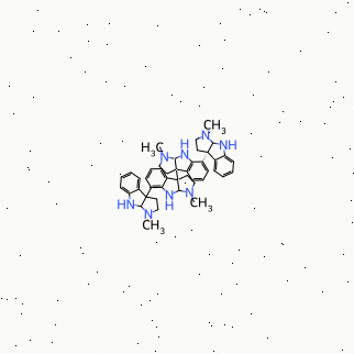 CN1CCC2(c3cccc4c3NC3N(C)CCC43C34CCN(C)C3Nc3c4cccc3[C@]34CCN(C)C3Nc3ccccc34)c3ccccc3NC12